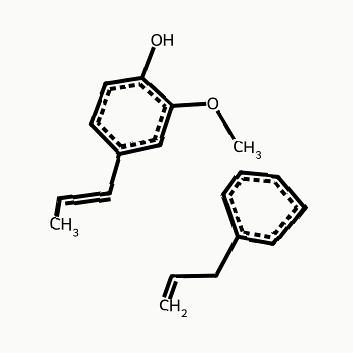 C=CCc1ccccc1.CC=Cc1ccc(O)c(OC)c1